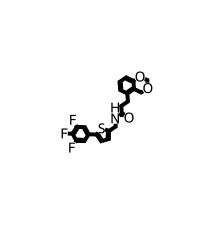 O=C(CCc1cccc2c1COCO2)NCc1ccc(-c2cc(F)c(F)c(F)c2)s1